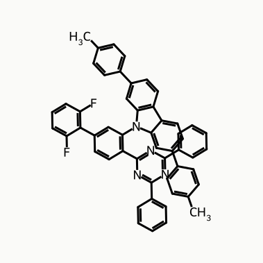 Cc1ccc(-c2ccc3c4ccc(-c5ccc(C)cc5)cc4n(-c4cc(-c5c(F)cccc5F)ccc4-c4nc(-c5ccccc5)nc(-c5ccccc5)n4)c3c2)cc1